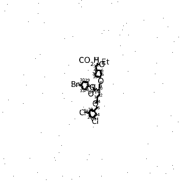 CCOC(Cc1ccc(OCCN(CCCOCc2cc(Cl)cc(Cl)c2)C(=O)Oc2ccc(Br)cc2)cc1)C(=O)O